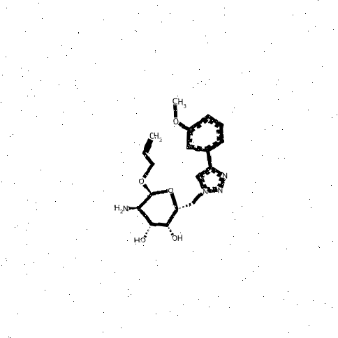 C=CCO[C@H]1O[C@H](Cn2cc(-c3cccc(OC)c3)nn2)[C@H](O)[C@H](O)[C@H]1N